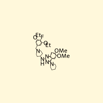 CCOc1cc(CN2CCC(Nc3nc(N4CCCCC4)c4cc(OC)c(OC)cc4n3)CC2)cc(OCC)c1F